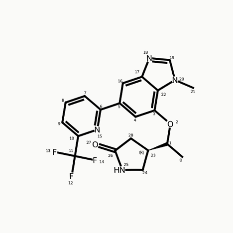 CC(Oc1cc(-c2cccc(C(F)(F)F)n2)cc2ncn(C)c12)[C@H]1CNC(=O)C1